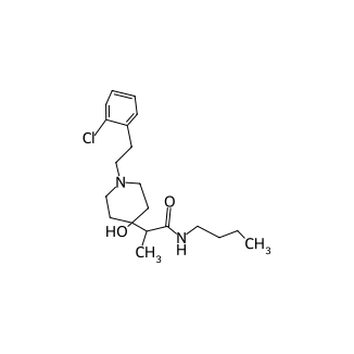 CCCCNC(=O)C(C)C1(O)CCN(CCc2ccccc2Cl)CC1